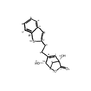 O=C1OC2C[C@@]1(O)C=C(CCc1cc3ccccc3s1)[C@H]2O